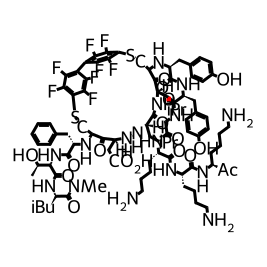 CC[C@H](C)[C@H](NC(=O)[C@@H](NC(=O)[C@H](Cc1ccccc1)NC1CSc2c(F)c(F)c(c(F)c2F)-c2c(F)c(F)c(c(F)c2F)SCC(N[C@@H](Cc2ccc(O)cc2)C(=O)N[C@@H](Cc2ccc(O)cc2)C(=O)NCC(=O)N[C@@H](CCCCN)C(=O)N[C@@H](CCCCN)C(=O)N[C@@H](CCCCN)C(C)=O)C(=O)[C@H](CC(C)C)NC(=O)[C@H](CC(C)C)NN[C@@H](CC(=O)O)C1=O)[C@@H](C)O)C(=O)NC